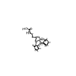 O=C(O)NCCCCN1c2c(F)cccc2N(c2ccccc2)S1(O)O